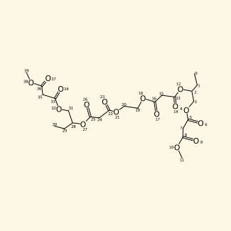 CCC(COC(=O)CC(=O)OC)OC(=O)CC(=O)OCCOC(=O)CC(=O)OC(CC)COC(=O)CC(=O)OC